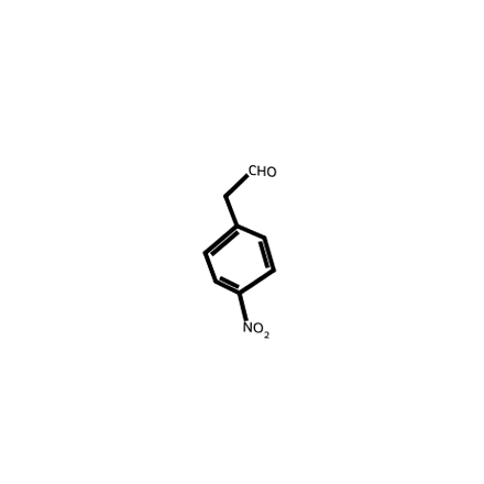 O=CCc1ccc([N+](=O)[O-])cc1